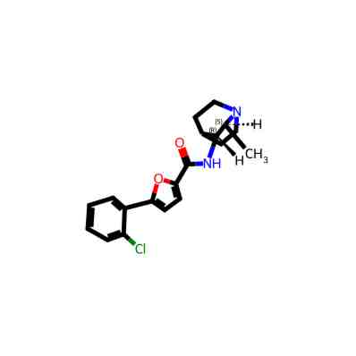 C[C@H]1[C@H](NC(=O)c2ccc(-c3ccccc3Cl)o2)C2CCN1CC2